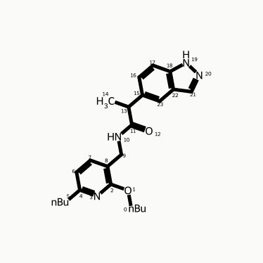 CCCCOc1nc(CCCC)ccc1CNC(=O)C(C)c1ccc2[nH]ncc2c1